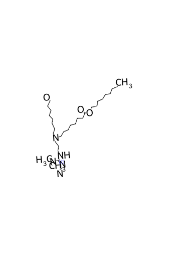 CCCCCCCCCOC(=O)CCCCCCCN(CCCCCCCC=O)CCCN/C(=N/C#N)N(C)C